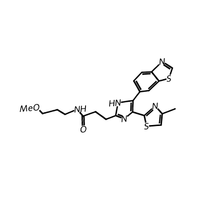 COCCCNC(=O)CCc1nc(-c2nc(C)cs2)c(-c2ccc3ncsc3c2)[nH]1